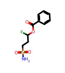 NS(=O)(=O)CCC(F)OC(=O)c1ccccc1